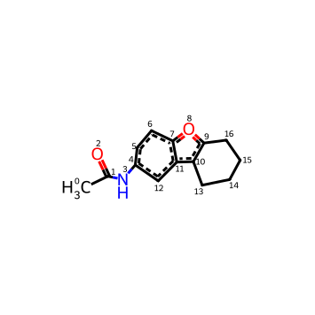 CC(=O)Nc1ccc2oc3c(c2c1)CCCC3